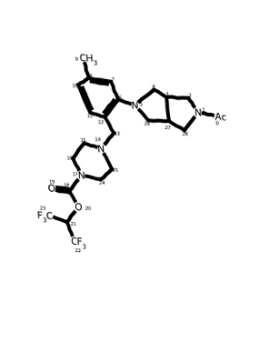 CC(=O)N1CC2CN(c3cc(C)ccc3CN3CCN(C(=O)OC(C(F)(F)F)C(F)(F)F)CC3)CC2C1